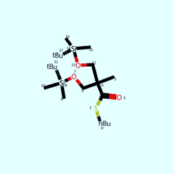 CCCCSC(=O)C(C)(CO[Si](C)(C)C(C)(C)C)CO[Si](C)(C)C(C)(C)C